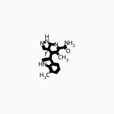 CC1=C(c2c[nH]c3c(C)cccc23)[C@@]2(I)C=NNC2N=C1C(N)=O